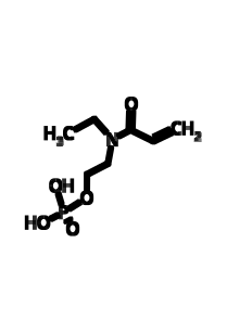 C=CC(=O)N(CC)CCOP(=O)(O)O